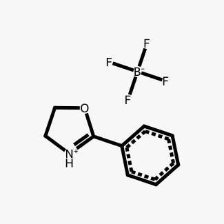 F[B-](F)(F)F.c1ccc(C2=[NH+]CCO2)cc1